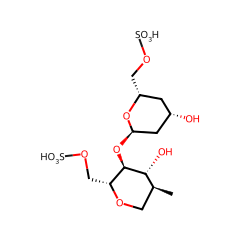 C[C@H]1CO[C@H](COS(=O)(=O)O)[C@@H](O[C@@H]2C[C@@H](O)C[C@@H](COS(=O)(=O)O)O2)[C@@H]1O